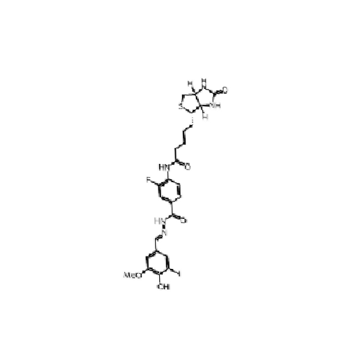 COc1cc(/C=N/NC(=O)c2ccc(NC(=O)CCCC[C@@H]3SC[C@@H]4NC(=O)N[C@@H]43)c(F)c2)cc(I)c1O